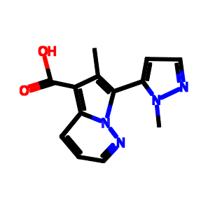 Cc1c(C(=O)O)c2cccnn2c1-c1ccnn1C